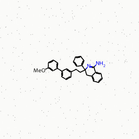 COc1cccc(-c2cccc(CCC3(c4ccccc4)Cc4ccccc4C(N)=N3)c2)c1